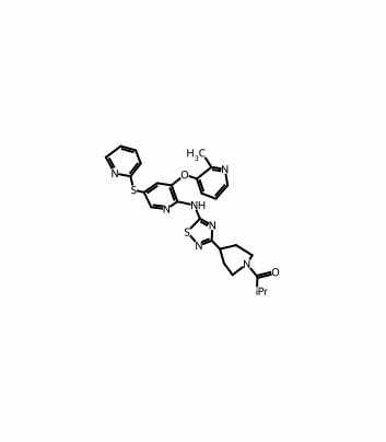 Cc1ncccc1Oc1cc(Sc2ccccn2)cnc1Nc1nc(C2CCN(C(=O)C(C)C)CC2)ns1